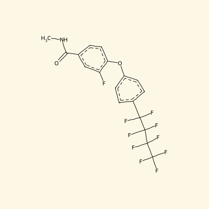 CNC(=O)c1ccc(Oc2ccc(C(F)(F)C(F)(F)C(F)(F)C(F)(F)F)cc2)c(F)c1